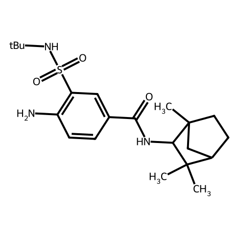 CC(C)(C)NS(=O)(=O)c1cc(C(=O)NC2C3(C)CCC(C3)C2(C)C)ccc1N